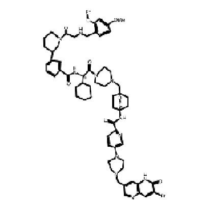 CCOc1cc(OC)ccc1CNCC(=O)N1CCCC(c2cccc(C(=O)N[C@@H](C(=O)N3CCN(CC45CCC(NC(=O)c6ccc(N7CCN(Cc8cnc9cc(CC)c(=O)[nH]c9c8)CC7)cn6)(CC4)CO5)CC3)C3CCCCC3)c2)C1